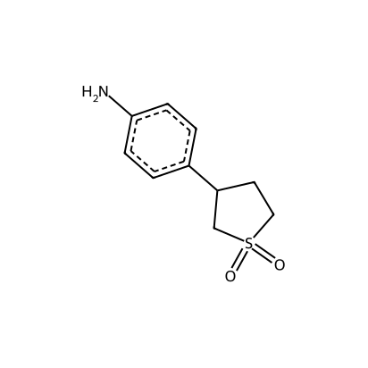 Nc1ccc(C2CCS(=O)(=O)C2)cc1